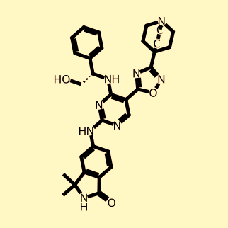 CC1(C)NC(=O)c2ccc(Nc3ncc(-c4nc(C56CCN(CC5)CC6)no4)c(N[C@H](CO)c4ccccc4)n3)cc21